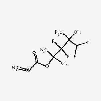 C=CC(=O)OC(C)(C(F)(F)F)C(F)(F)C(O)(C(F)F)C(F)(F)F